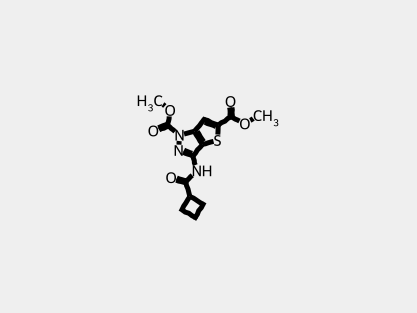 COC(=O)c1cc2c(s1)c(NC(=O)C1CCC1)nn2C(=O)OC